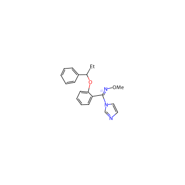 CCC(Oc1ccccc1/C(=N/OC)n1ccnc1)c1ccccc1